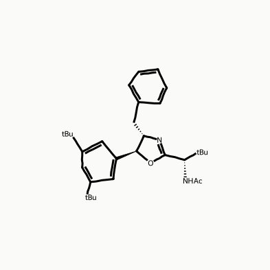 CC(=O)N[C@H](C1=N[C@@H](Cc2ccccc2)[C@H](c2cc(C(C)(C)C)cc(C(C)(C)C)c2)O1)C(C)(C)C